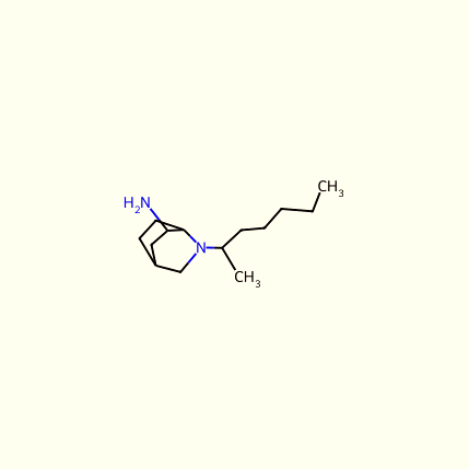 CCCCCC(C)N1CC2CCC1C(N)C2